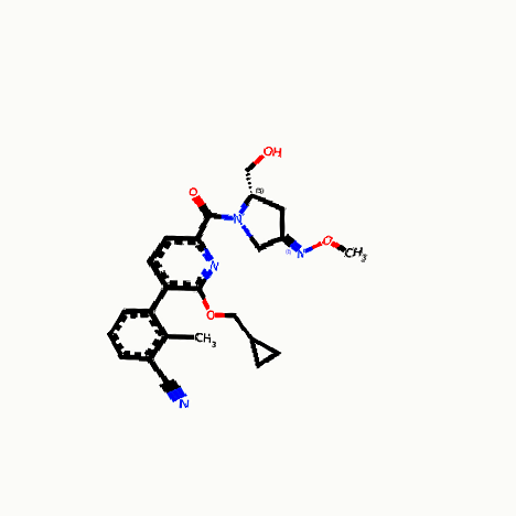 CO/N=C1\C[C@@H](CO)N(C(=O)c2ccc(-c3cccc(C#N)c3C)c(OCC3CC3)n2)C1